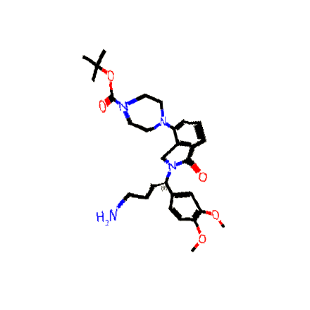 COc1ccc([C@@H](CCCN)N2Cc3c(cccc3N3CCN(C(=O)OC(C)(C)C)CC3)C2=O)cc1OC